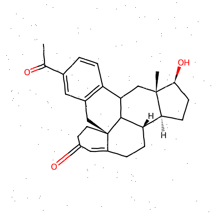 CC(=O)c1ccc2c(c1)C[C@]13CCC(=O)C=C1CC[C@@H]1C3C2C[C@]2(C)[C@@H](O)CC[C@@H]12